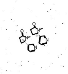 CN1C(=O)CC[C@H]1c1cccnc1.CN1C(=O)CC[C@H]1c1cccnc1